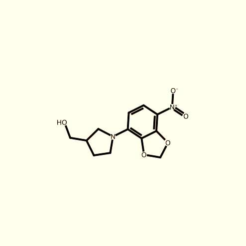 O=[N+]([O-])c1ccc(N2CCC(CO)C2)c2c1OCO2